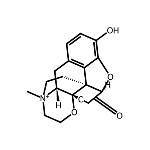 C[N+]12CCO[C@@]34CCC(=O)[C@@H]5Oc6c(O)ccc(c6[C@@]53CC1)C[C@H]42